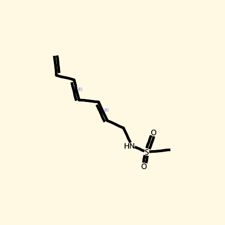 C=C/C=C/C=C/CNS(C)(=O)=O